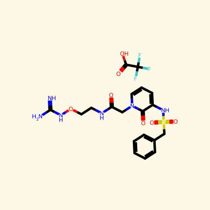 N=C(N)NOCCNC(=O)Cn1cccc(NS(=O)(=O)Cc2ccccc2)c1=O.O=C(O)C(F)(F)F